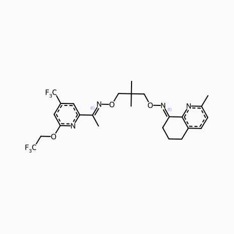 C/C(=N\OCC(C)(C)CO/N=C1\CCCc2ccc(C)nc21)c1cc(C(F)(F)F)cc(OCC(F)(F)F)n1